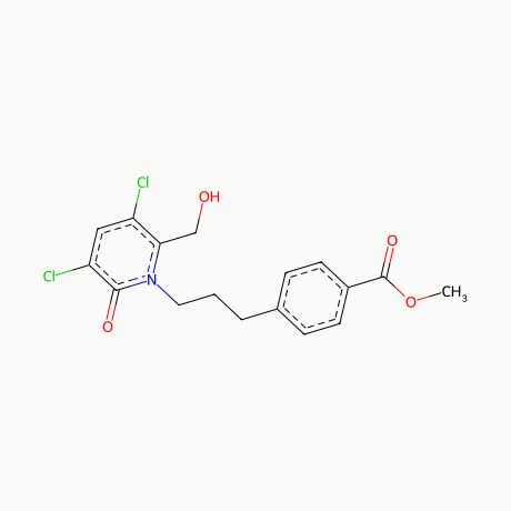 COC(=O)c1ccc(CCCn2c(CO)c(Cl)cc(Cl)c2=O)cc1